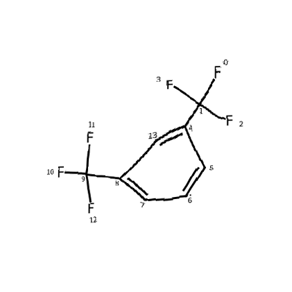 FC(F)(F)c1c[c]cc(C(F)(F)F)c1